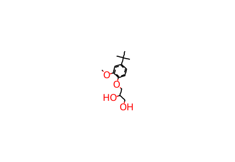 COc1cc(C(C)(C)C)ccc1OCC(O)CO